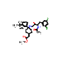 COC(=O)C=C1CCC(NCC(O)C(Cc2cc(F)cc(F)c2)NC(C)=O)(c2cccc(C(C)(C)C)c2)CC1